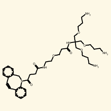 NCCCOCC(COCCCN)(COCCCN)NC(=O)CCOCCNC(=O)CCC(=O)N1Cc2ccccc2C#Cc2ccccc21